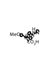 COc1ccc(CCN(CCC(=O)O)C(=O)c2ccccc2-c2ccccc2C(=O)NCc2ccccn2)cc1